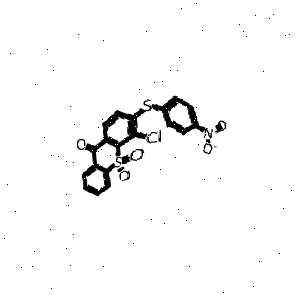 O=C1c2ccccc2S(=O)(=O)c2c1ccc(Sc1ccc([N+](=O)[O-])cc1)c2Cl